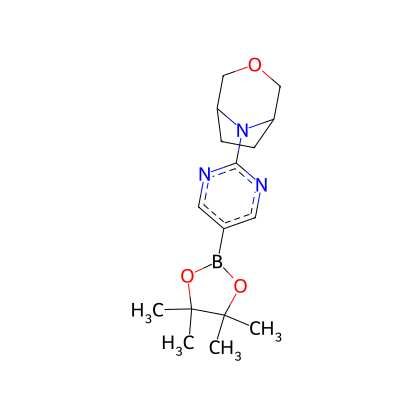 CC1(C)OB(c2cnc(N3C4CCC3COC4)nc2)OC1(C)C